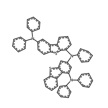 c1ccc(N(c2ccccc2)c2ccc3sc4c(N(c5ccccc5)c5cc(N(c6ccccc6)c6ccccc6)c6c(c5)sc5ccccc56)cccc4c3c2)cc1